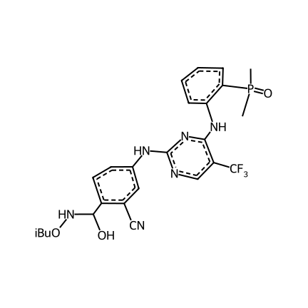 CC(C)CONC(O)c1ccc(Nc2ncc(C(F)(F)F)c(Nc3ccccc3P(C)(C)=O)n2)cc1C#N